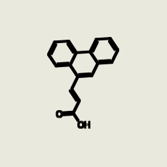 O=C(O)C=Cc1cc2ccccc2c2ccccc12